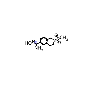 CS(=O)(=O)N1CCc2cc(/C(N)=N/O)ccc2C1